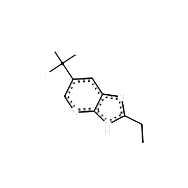 CCc1nc2cc(C(F)(F)F)cnc2[nH]1